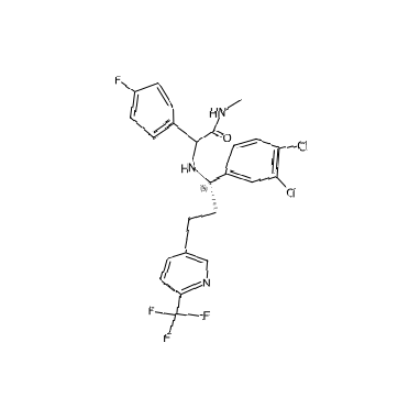 CNC(=O)C(N[C@@H](CCc1ccc(C(F)(F)F)nc1)c1ccc(Cl)c(Cl)c1)c1ccc(F)cc1